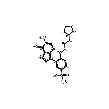 Cn1ccc2c(-c3cc(S(C)(=O)=O)ccc3OCCCC3CCCC3)c[nH]c2c1=O